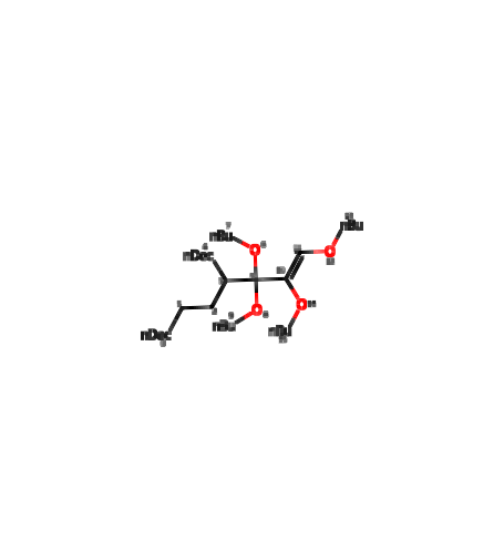 CCCCCCCCCCCCC(CCCCCCCCCC)C(OCCCC)(OCCCC)/C(=[C]/OCCCC)OCCCC